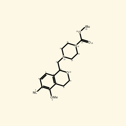 COc1c(C#N)ccc2c1CCOC2CN1CCN(C(=O)OC(C)(C)C)CC1